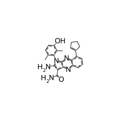 Cc1ccc(O)c(C)c1-n1c(N)c(C(N)=O)c2nc3cccc(C4=CCCC4)c3nc21